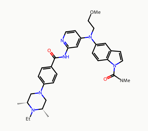 CCN1[C@H](C)CN(c2ccc(C(=O)Nc3cc(N(CCOC)c4ccc5c(ccn5C(=O)NC)c4)ccn3)cc2)C[C@@H]1C